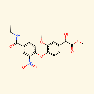 CCNC(=O)c1ccc(Oc2ccc(C(O)C(=O)OC)cc2OC)c([N+](=O)[O-])c1